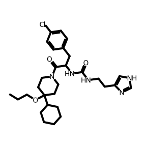 CCCOC1(C2CCCCC2)CCN(C(=O)C(Cc2ccc(Cl)cc2)NC(=O)NCCc2c[nH]cn2)CC1